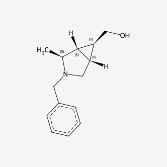 C[C@H]1[C@@H]2[C@@H](CO)[C@@H]2CN1Cc1ccccc1